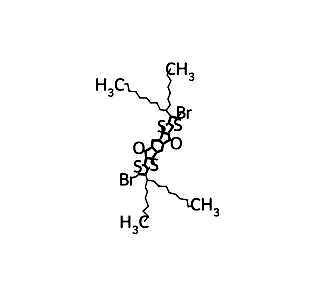 CCCCCCCCCC(CCCCCCC)c1c(Br)sc2c1sc1c3cc4c(=O)c5c6sc(Br)c(C(CCCCCCC)CCCCCCCCC)c6sc5c4cc3c(=O)c21